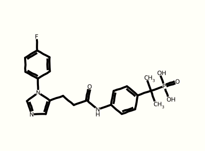 CC(C)(c1ccc(NC(=O)CCc2cncn2-c2ccc(F)cc2)cc1)P(=O)(O)O